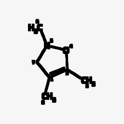 CC1=C(C)ON(C)C1